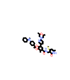 CSc1cc(C)[nH]c(=O)c1CNC(=O)c1cc(-c2ccc(N3CC(C)OC(C)C3)nc2)c2c(c1C)OC(C)(C1CCC(N(C)C3CCCCC3)CC1)O2